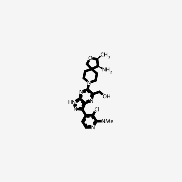 CNc1nccc(-c2n[nH]c3nc(N4CCC5(CC4)CO[C@@H](C)[C@H]5N)c(CO)nc23)c1Cl